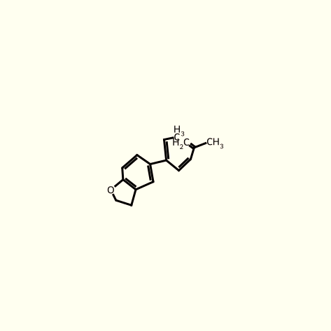 C=C(C)/C=C\C(=C/C)c1ccc2c(c1)CCO2